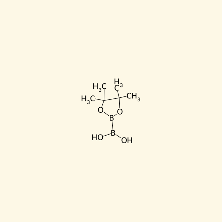 CC1(C)OB(B(O)O)OC1(C)C